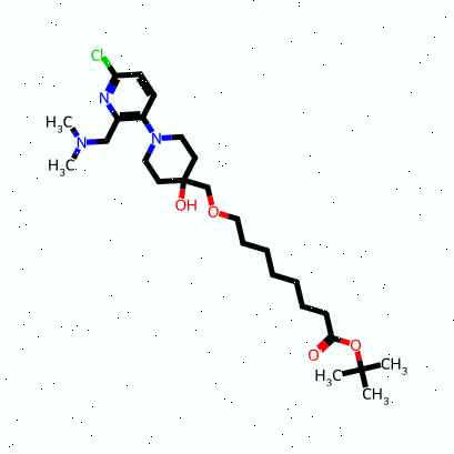 CN(C)Cc1nc(Cl)ccc1N1CCC(O)(COCCCCCCCC(=O)OC(C)(C)C)CC1